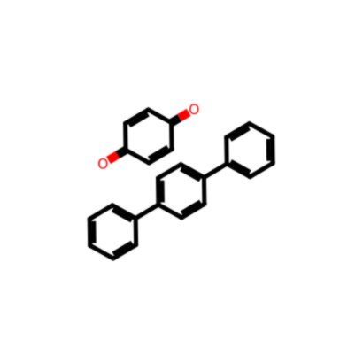 O=C1C=CC(=O)C=C1.c1ccc(-c2ccc(-c3ccccc3)cc2)cc1